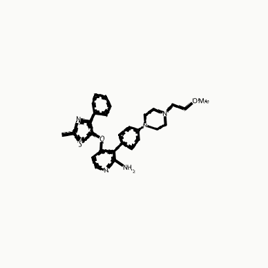 COCCN1CCN(c2ccc(-c3c(Oc4sc(C)nc4-c4ccccc4)ccnc3N)cc2)CC1